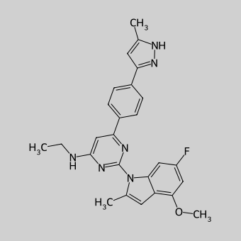 CCNc1cc(-c2ccc(-c3cc(C)[nH]n3)cc2)nc(-n2c(C)cc3c(OC)cc(F)cc32)n1